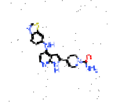 NC(=O)N1CC=C(c2cc3c(Nc4ccc5ncsc5c4)ccnc3[nH]2)CC1